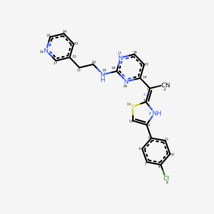 N#C/C(=C1\NC(c2ccc(Cl)cc2)=CS1)c1ccnc(NCCc2cccnc2)n1